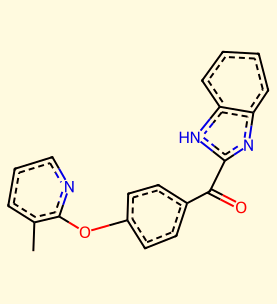 Cc1cccnc1Oc1ccc(C(=O)c2nc3ccccc3[nH]2)cc1